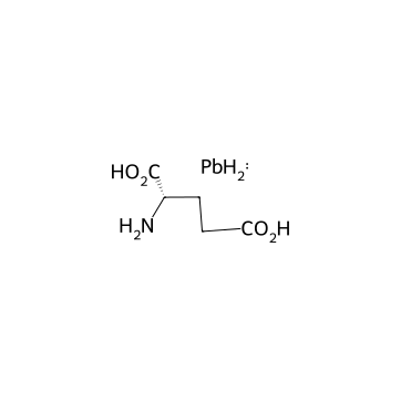 N[C@@H](CCC(=O)O)C(=O)O.[PbH2]